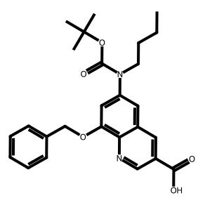 CCCCN(C(=O)OC(C)(C)C)c1cc(OCc2ccccc2)c2ncc(C(=O)O)cc2c1